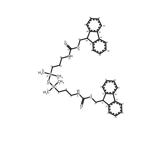 C[Si](C)(CCCNC(=O)OCC1c2ccccc2-c2ccccc21)O[Si](C)(C)CCCNC(=O)OCC1c2ccccc2-c2ccccc21